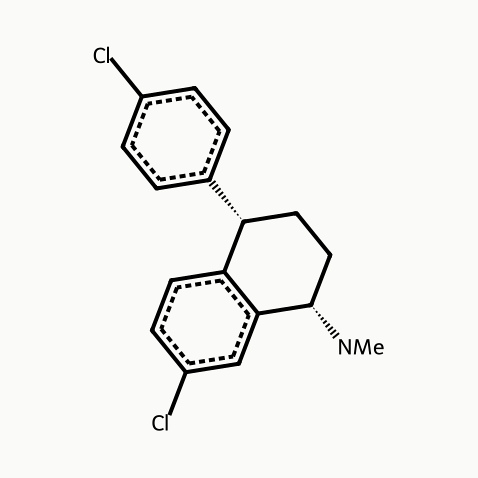 CN[C@H]1CC[C@@H](c2ccc(Cl)cc2)c2ccc(Cl)cc21